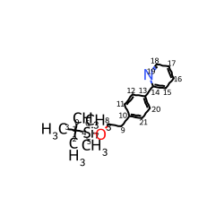 CC(C)(C)[Si](C)(C)OCCc1ccc(-c2ccccn2)cc1